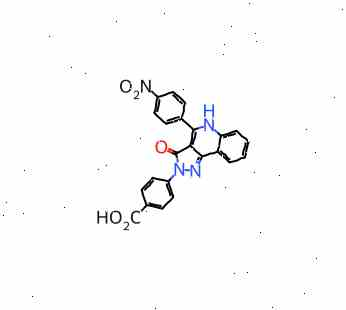 O=C(O)c1ccc(-n2nc3c4ccccc4[nH]c(-c4ccc([N+](=O)[O-])cc4)c-3c2=O)cc1